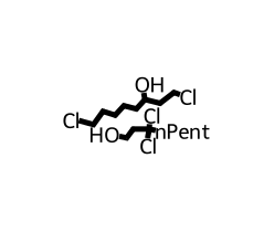 CCCCCC(Cl)(Cl)CCO.OC(CCCl)CCCCCCl